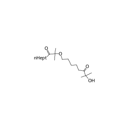 CCCCCCCC(=O)C(C)(C)OCCCCCC(=O)C(C)(C)O